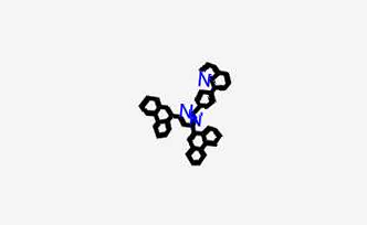 c1cnc2c(-c3ccc(-c4nc(-c5cc6ccccc6c6ccccc56)cc(-c5cc6ccccc6c6ccccc56)n4)cc3)cccc2c1